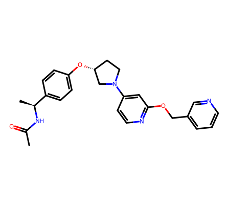 CC(=O)N[C@@H](C)c1ccc(O[C@@H]2CCN(c3ccnc(OCc4cccnc4)c3)C2)cc1